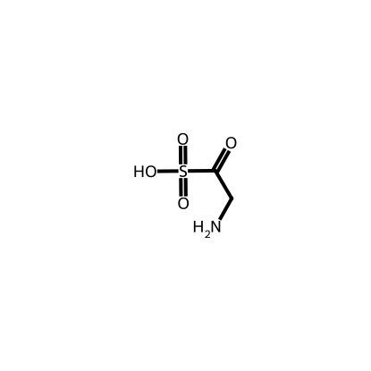 NCC(=O)S(=O)(=O)O